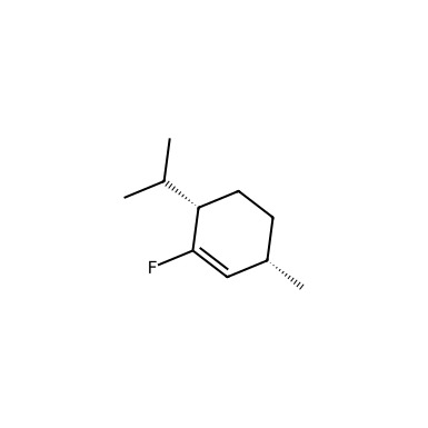 CC(C)[C@@H]1CC[C@H](C)C=C1F